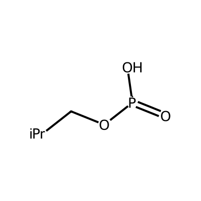 CC(C)CO[P](=O)O